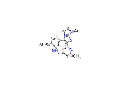 CSc1ccc(-c2c(-c3cccc(C)n3)nc3n2CCN3C(C)=O)cc1N